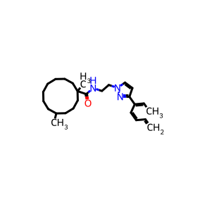 C=C/C=C\C(=C/C)c1ccn(CCNC(=O)C2(C)CCCCCCCC(C)CCC2)n1